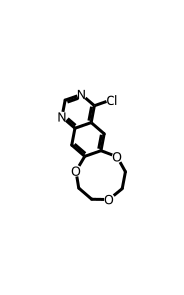 Clc1ncnc2cc3c(cc12)OCCOCCO3